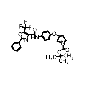 CC(C)(C)OC(=O)N1CCC(Oc2ccc(NC(=O)c3nc(-c4ccccc4)oc3C(F)(F)F)cc2)C1